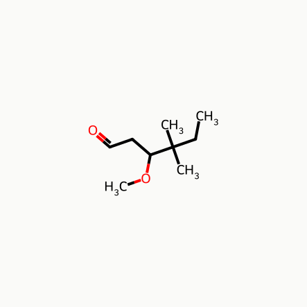 CCC(C)(C)C(CC=O)OC